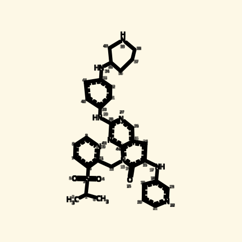 CC(C)S(=O)(=O)c1cccnc1Cn1c(=O)c(Nc2cccnc2)cc2cnc(Nc3ccc(NC4CCCNC4)cc3)nc21